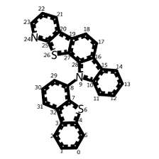 c1ccc2c(c1)sc1c(-n3c4ccccc4c4ccc5c6cccnc6sc5c43)cccc12